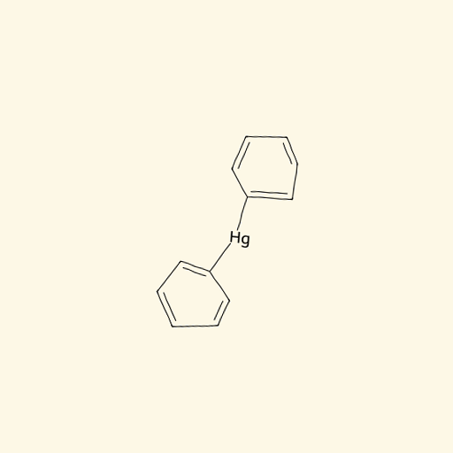 c1cc[c]([Hg][c]2ccccc2)cc1